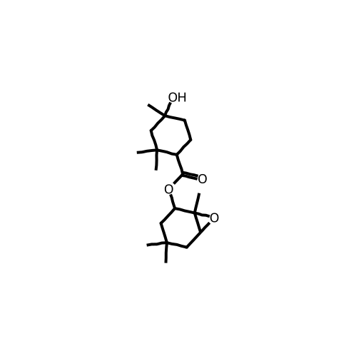 CC1(C)CC(OC(=O)C2CCC(C)(O)CC2(C)C)C2(C)OC2C1